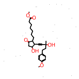 COC(=O)CCCCCCC1C(=O)CC(O)C1C#CC(C)(O)CCc1ccc(OC)cc1